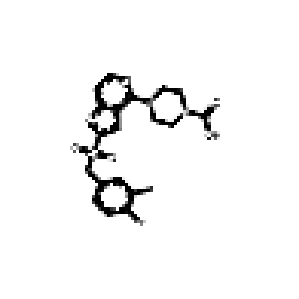 O=C(O)N1CCN(c2nccc3sc(S(=O)(=O)Cc4ccc(F)c(F)c4)cc23)CC1